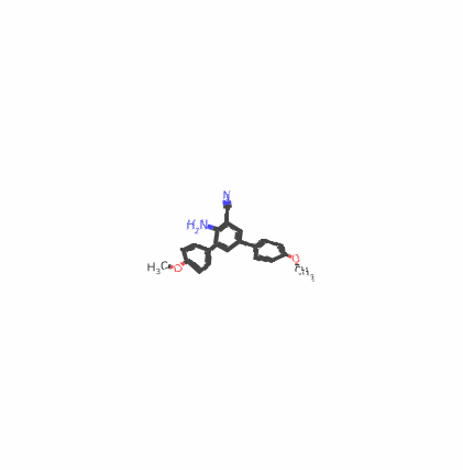 COc1ccc(-c2cc(C#N)c(N)c(-c3ccc(OC)cc3)c2)cc1